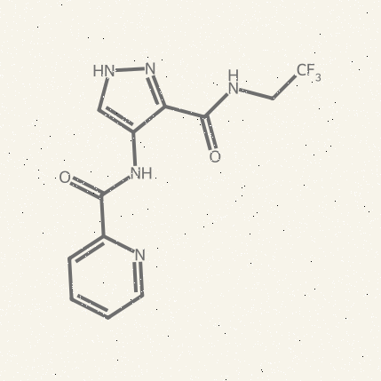 O=C(Nc1c[nH]nc1C(=O)NCC(F)(F)F)c1ccccn1